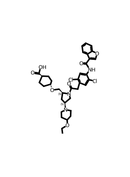 CCOC1CCN([C@H]2C[C@@H](CO[C@H]3CC[C@H](C(=O)O)CC3)N(C(=O)Cc3cc(Cl)c(NC(=O)c4coc5ccccc45)cc3Cl)C2)CC1